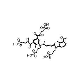 CC(=O)c1cccc(N(CCCS(=O)(=O)O)/C(C)=C/C=C/C(C)=[N+](\CCCS(=O)(=O)O)c2cc(C(=O)NCCS(=O)(=O)O)cc(C(=O)NCCS(=O)(=O)O)c2C)c1C